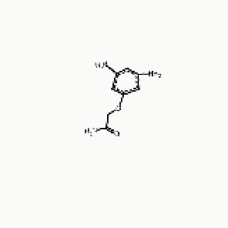 NC(=O)COc1cc(N)cc(N)c1